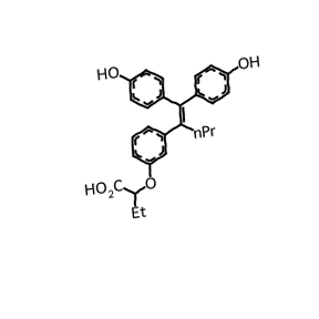 CCCC(=C(c1ccc(O)cc1)c1ccc(O)cc1)c1cccc(OC(CC)C(=O)O)c1